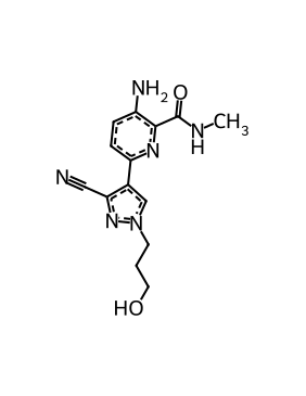 CNC(=O)c1nc(-c2cn(CCCO)nc2C#N)ccc1N